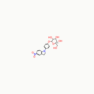 O=[N+]([O-])c1ccc2c(c1)CCN2c1ccc(OC2OC(CO)[C@@H](O)C(O)C2O)cc1